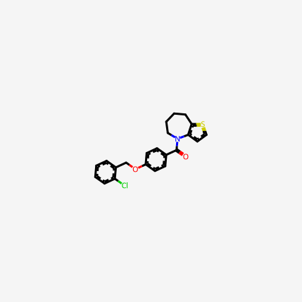 O=C(c1ccc(OCc2ccccc2Cl)cc1)N1CCCCc2sccc21